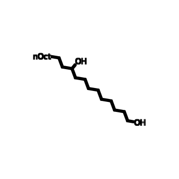 CCCCCCCCCCC(O)CCCCCCCCCO